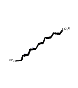 CCCCCCCCC/C=C/C=C/C=CC=CC=CC(=O)O